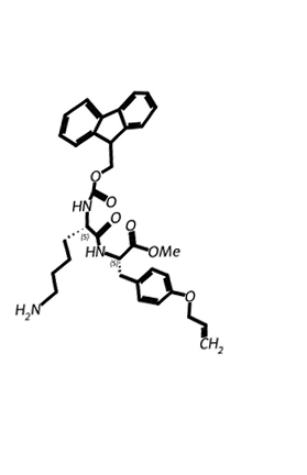 C=CCOc1ccc(C[C@H](NC(=O)[C@H](CCCCN)NC(=O)OCC2c3ccccc3-c3ccccc32)C(=O)OC)cc1